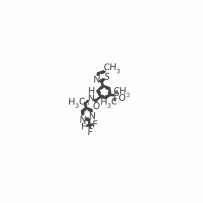 Cc1cnc(-c2cc(C(=O)N[C@H](C)c3cnc(C(F)(F)F)nc3)cc(P(C)(C)=O)c2)s1